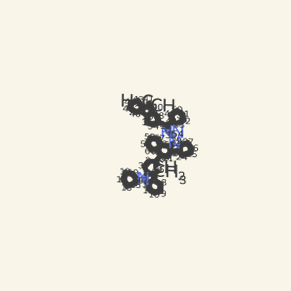 C=C(/C=C\c1c(C)c2ccccc2n1-c1ccccc1)c1cc2c3ccccc3n(-c3nc(-c4ccc5c(c4)C(C)(C)c4ccccc4-5)c4ccccc4n3)c2c2ccccc12